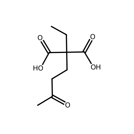 CCC(CCC(C)=O)(C(=O)O)C(=O)O